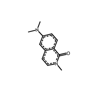 CN(C)c1ccc2c(=O)n(C)ccc2c1